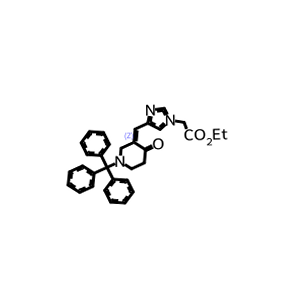 CCOC(=O)Cn1cnc(/C=C2/CN(C(c3ccccc3)(c3ccccc3)c3ccccc3)CCC2=O)c1